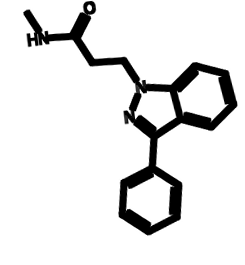 CNC(=O)CCn1nc(-c2ccccc2)c2ccccc21